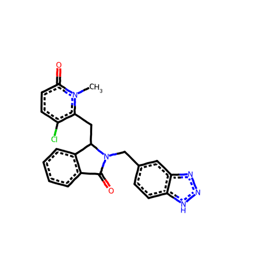 Cn1c(CC2c3ccccc3C(=O)N2Cc2ccc3[nH]nnc3c2)c(Cl)ccc1=O